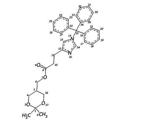 CC1(C)OCC(COC(=O)CCc2cn(C(c3ccccc3)(c3ccccc3)c3ccccc3)cn2)CO1